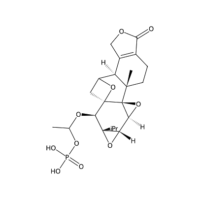 CC(O[C@@H]1[C@@]2(C(C)C)O[C@H]2[C@@H]2O[C@@]23[C@@]2(C)CCC4=C(COC4=O)[C@@H]2C2C[C@@]13O2)OP(=O)(O)O